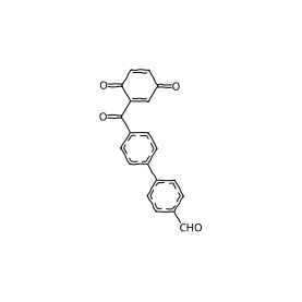 O=Cc1ccc(-c2ccc(C(=O)C3=CC(=O)C=CC3=O)cc2)cc1